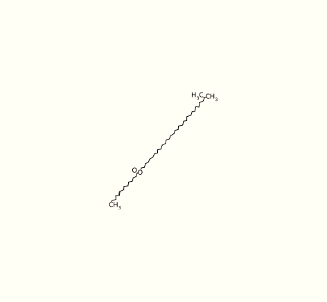 CCCCC=CCCCCCCCC(=O)OCCCCCCCCCCCCCCCCCCCCCCCCCCCCCCC(C)C